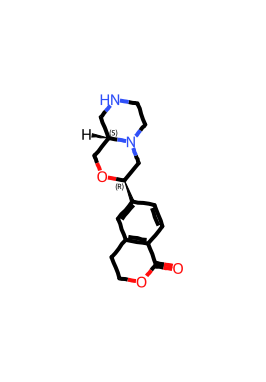 O=C1OCCc2cc([C@@H]3CN4CCNC[C@H]4CO3)ccc21